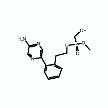 COP(=O)(CO)OCCc1ccccc1-c1cnc(N)cn1